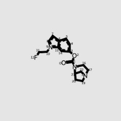 O=C(Oc1ccc2ccn(CCF)c2c1)N1CCN2CCC1C2